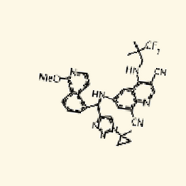 COc1nccc2c(C(Nc3cc(C#N)c4ncc(C#N)c(NCC(C)(C)C(F)(F)F)c4c3)c3cn(C4(C)CC4)nn3)cccc12